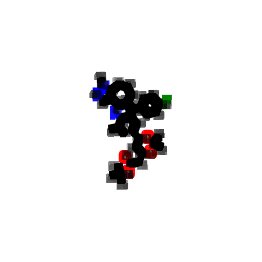 CC(C)c1nc2c(c(-c3ccc(F)cc3)c1/C=C/[C@@H]1C[C@H](CC(=O)OC(C)(C)C)OC(C)(C)O1)CCCc1c-2cnn1C